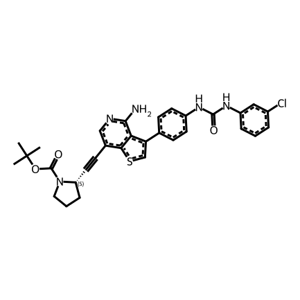 CC(C)(C)OC(=O)N1CCC[C@H]1C#Cc1cnc(N)c2c(-c3ccc(NC(=O)Nc4cccc(Cl)c4)cc3)csc12